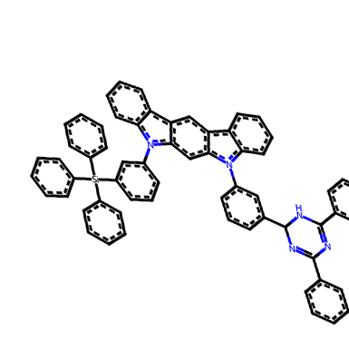 c1ccc(C2=NC(c3cccc(-n4c5ccccc5c5cc6c7ccccc7n(-c7cccc([Si](c8ccccc8)(c8ccccc8)c8ccccc8)c7)c6cc54)c3)NC(c3ccccc3)=N2)cc1